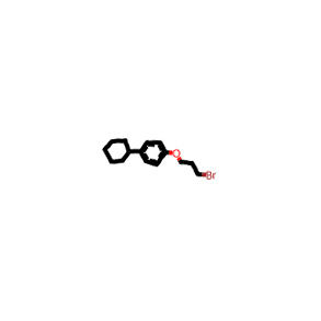 BrCCCOc1ccc(C2CCCCC2)cc1